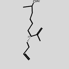 C=CCC[C@H](CCCCC(C)OC(C)=O)C(=C)C